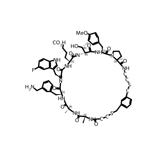 COc1ccc(C[C@@H]2NC(=O)[C@@H]([C@@H](C)O)NC(=O)[C@H](CCCC(=O)O)NC(=O)[C@H](Cc3c[nH]c4ccc(F)cc34)NC(=O)[C@H](Cc3cccc(CN)c3)NC(=O)[C@@H](C)NC(=O)[C@H](C)NC(=O)CCSCc3cccc(c3)CSCCNC(=O)[C@]3(C)CCCN3C2=O)cc1